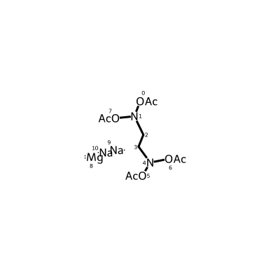 CC(=O)ON(CCN(OC(C)=O)OC(C)=O)OC(C)=O.[Mg].[Na].[Na]